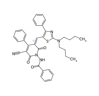 CCCCN(CCCC)c1nc(-c2ccccc2)c(/C=C2\C(=O)N(NC(=O)c3ccccc3)C(=O)C(C#N)=C2c2ccccc2)s1